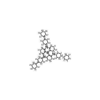 c1ccc(-c2ccc(N3c4cccc5c4B4c6c3cccc6N(c3ccc(-c6ccccc6)cc3)c3cccc(c34)N5c3ccc(-c4ccccc4)cc3)cc2)cc1